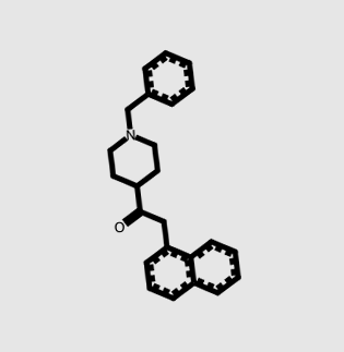 O=C(Cc1cccc2ccccc12)C1CCN(Cc2ccccc2)CC1